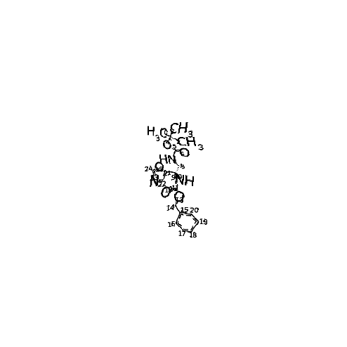 CC(C)(C)OC(=O)NC[C@H](NC(=O)OCc1ccccc1)c1cnco1